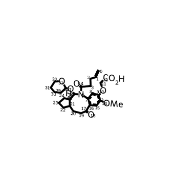 C=CCCC(=O)N1c2cc(OCC(=O)O)c(OC)cc2C(=O)CCC2CCC[C@H]2C1OC1CCCCO1